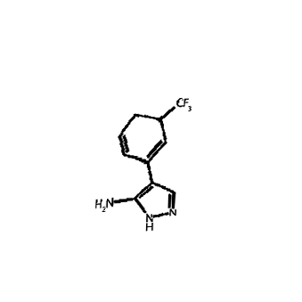 Nc1[nH]ncc1C1=CC(C(F)(F)F)CC=C1